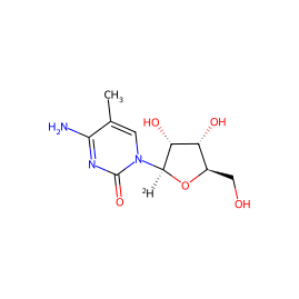 [2H][C@@]1(n2cc(C)c(N)nc2=O)O[C@H](CO)[C@@H](O)[C@H]1O